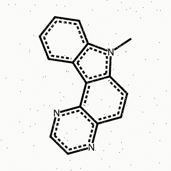 Cn1c2ccccc2c2c3nccnc3ccc21